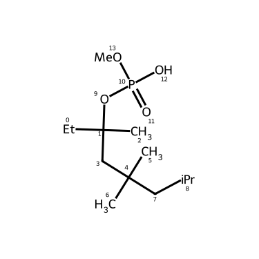 CCC(C)(CC(C)(C)CC(C)C)OP(=O)(O)OC